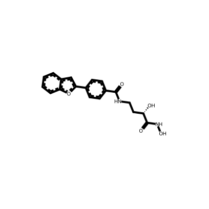 O=C(NCC[C@H](O)C(=O)NO)c1ccc(-c2cc3ccccc3o2)cc1